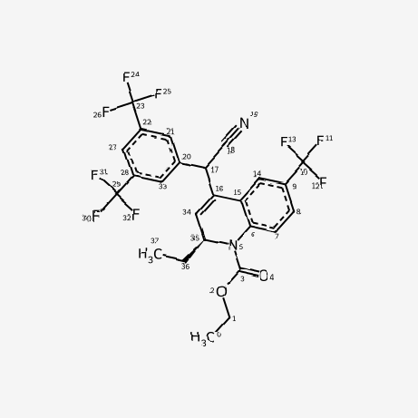 CCOC(=O)N1c2ccc(C(F)(F)F)cc2C(C(C#N)c2cc(C(F)(F)F)cc(C(F)(F)F)c2)=C[C@@H]1CC